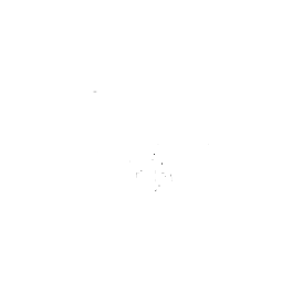 NP(=O)(Oc1ccccc1)Oc1ccc(-c2ccccc2)cc1